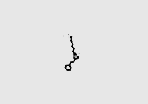 C=CC(CCc1ccccc1)OC(=O)CCCCCO[N+](=O)[O-]